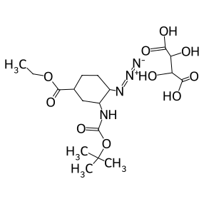 CCOC(=O)C1CCC(N=[N+]=[N-])C(NC(=O)OC(C)(C)C)C1.O=C(O)C(O)C(O)C(=O)O